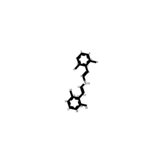 Cc1cccc(C)c1C=CSC=Cc1c(C)cccc1C